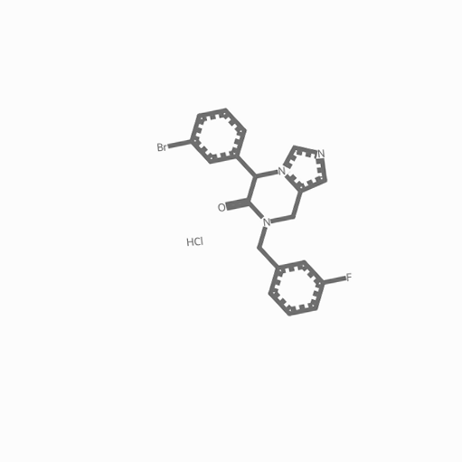 Cl.O=C1C(c2cccc(Br)c2)n2cncc2CN1Cc1cccc(F)c1